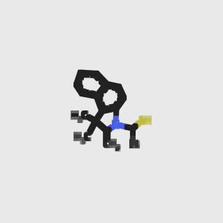 C=C1N(C(S)CC)c2ccc3ccccc3c2C1(C)C